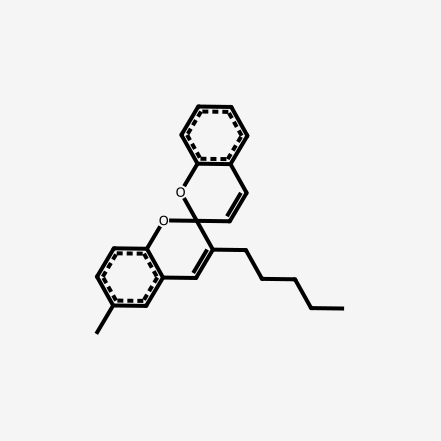 CCCCCC1=Cc2cc(C)ccc2OC12C=Cc1ccccc1O2